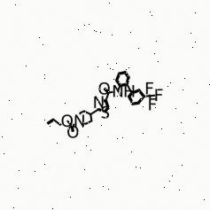 C=CCOC(=O)N1CCC(c2nc(C(=O)Nc3ccccc3-c3cccc(C(F)(F)F)c3)cs2)CC1